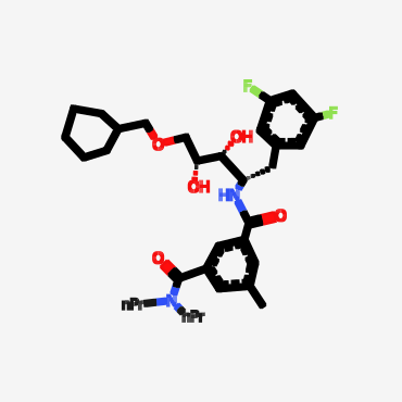 CCCN(CCC)C(=O)c1cc(C)cc(C(=O)N[C@@H](Cc2cc(F)cc(F)c2)[C@@H](O)[C@H](O)COCC2CCCCC2)c1